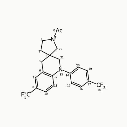 CC(=O)N1CCC2(Cc3cc(C(F)(F)F)ccc3N(c3ccc(C(F)(F)F)cc3)C2)C1